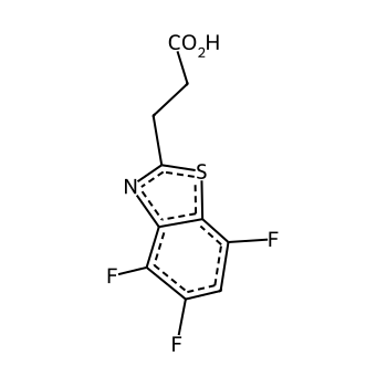 O=C(O)CCc1nc2c(F)c(F)cc(F)c2s1